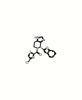 O=C(c1nc(Cl)cs1)N1CCc2[nH]cnc2[C@H]1c1cc2ccccc2o1